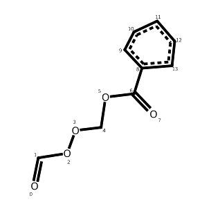 O=COOCOC(=O)c1ccccc1